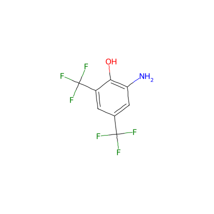 Nc1cc(C(F)(F)F)cc(C(F)(F)F)c1O